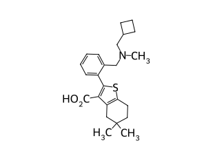 CN(Cc1ccccc1-c1sc2c(c1C(=O)O)CC(C)(C)CC2)CC1CCC1